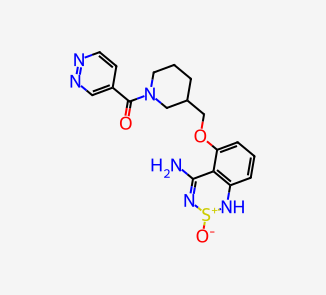 NC1=N[S+]([O-])Nc2cccc(OCC3CCCN(C(=O)c4ccnnc4)C3)c21